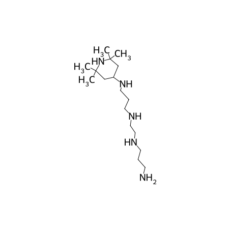 CC1(C)CC(NCCCNCCNCCCN)CC(C)(C)N1